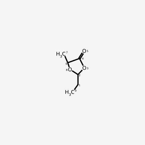 CCC1OC(=O)C(C)O1